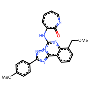 COCc1cccc2c1nc(Nc1ccccnc1=O)n1nc(-c3ccc(OC)cc3)nc21